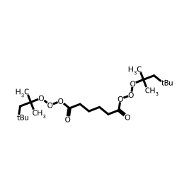 CC(C)(C)CC(C)(C)OOOC(=O)CCCCC(=O)OOOC(C)(C)CC(C)(C)C